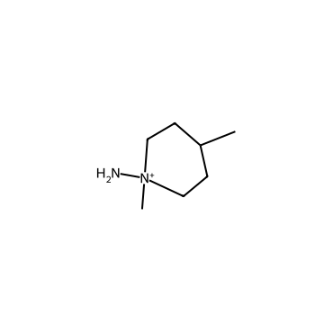 CC1CC[N+](C)(N)CC1